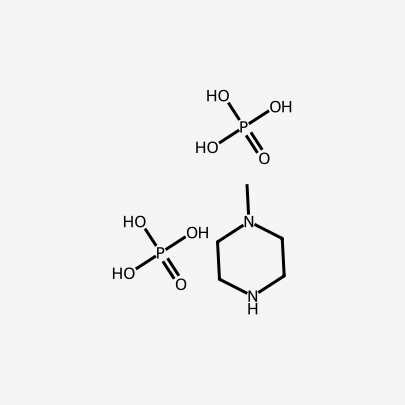 CN1CCNCC1.O=P(O)(O)O.O=P(O)(O)O